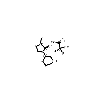 CN1CCN([C@@H]2CCCNC2)C1=O.O=C(O)C(F)(F)F